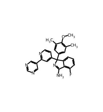 COc1c(C)cc(C2(c3ccnc(-c4cncnc4)c3)N=C(N)c3c(F)cccc32)cc1C